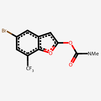 CNC(=O)Oc1cc2cc(Br)cc(C(F)(F)F)c2o1